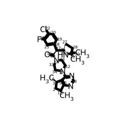 CC1C[C@@H](C)c2c1ncnc2N1CCN(C(=O)[C@@H](c2ccc(Cl)c(F)c2)[C@@H]2CCC(C)(C)N2)CC1